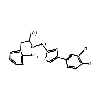 O=C(O)C(Cc1ccccc1[N+](=O)[O-])NNc1nc(-c2ccc(Cl)c(Cl)c2)cs1